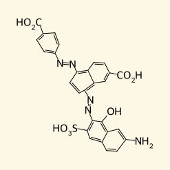 Nc1ccc2cc(S(=O)(=O)O)c(N=Nc3ccc(N=Nc4ccc(C(=O)O)cc4)c4ccc(C(=O)O)cc34)c(O)c2c1